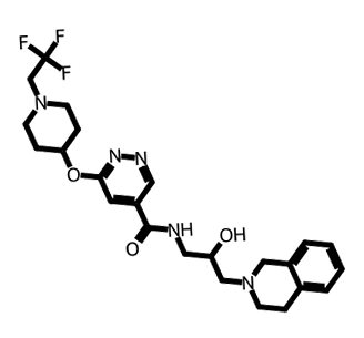 O=C(NCC(O)CN1CCc2ccccc2C1)c1cnnc(OC2CCN(CC(F)(F)F)CC2)c1